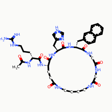 CC(=O)N[C@H](CCCNC(=N)N)C(=O)N[C@H]1CCC(=O)NCCCCNC(=O)CNC(=O)CNC(=O)[C@@H](Cc2ccc3ccccc3c2)NC(=O)[C@H](Cc2c[nH]cn2)NC1=O